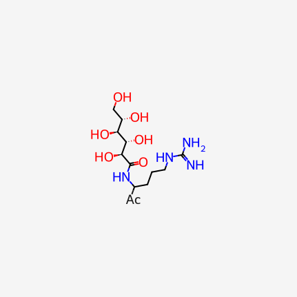 CC(=O)C(CCCNC(=N)N)NC(=O)[C@@H](O)[C@@H](O)[C@@H](O)[C@@H](O)CO